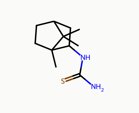 CC1(C)C2CCC1(C)C(NC(N)=S)C2